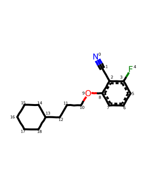 N#Cc1c(F)cccc1OCCCC1CCCCC1